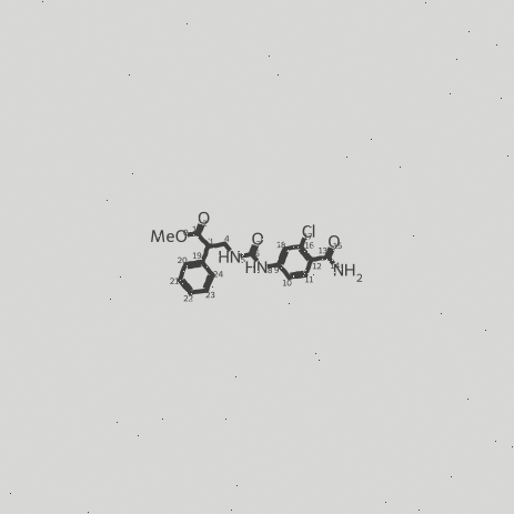 COC(=O)C(CNC(=O)Nc1ccc(C(N)=O)c(Cl)c1)c1ccccc1